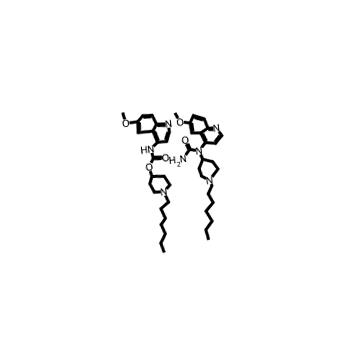 CCCCCCCN1CCC(N(C(N)=O)c2ccnc3ccc(OC)cc23)CC1.CCCCCCCN1CCC(OC(=O)Nc2ccnc3ccc(OC)cc23)CC1